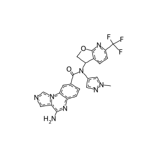 Cn1cc(N(C(=O)c2ccc3nc(N)c4cncn4c3c2)C2COc3nc(C(F)(F)F)ccc32)cn1